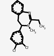 CCC1=Nc2ccccc2CC(c2ccc(Cl)c(Cl)c2)N1C